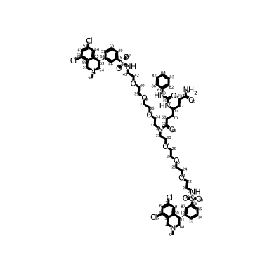 CN1Cc2c(Cl)cc(Cl)cc2[C@H](c2cccc(S(=O)(=O)NCCOCCOCCOCCN(CCOCCOCCOCCNS(=O)(=O)c3cccc([C@@H]4CN(C)Cc5c(Cl)cc(Cl)cc54)c3)C(=O)CCC(CCC(N)=O)NC(=O)Nc3ccccc3)c2)C1